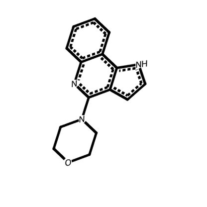 c1ccc2c(c1)nc(N1CCOCC1)c1cc[nH]c12